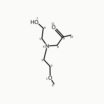 COCCN(CCO)CC(C)=O